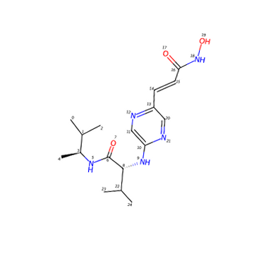 CC(C)[C@H](C)NC(=O)[C@H](Nc1cnc(/C=C/C(=O)NO)cn1)C(C)C